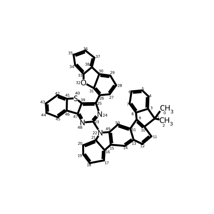 CC1(C)c2ccccc2-c2c1ccc1cc3c4ccccc4n(-c4nc(-c5cccc6c5oc5ccccc56)c5sc6ccccc6c5n4)c3cc21